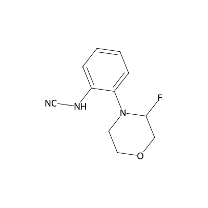 N#CNc1ccccc1N1CCOCC1F